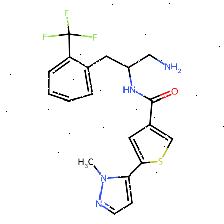 Cn1nccc1-c1cc(C(=O)NC(CN)Cc2ccccc2C(F)(F)F)cs1